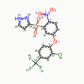 O=[N+]([O-])c1ccc(Oc2ccc(C(F)(F)F)cc2Cl)cc1S(=O)(=O)c1cc[nH]n1